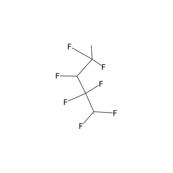 CC(F)(F)C(F)C(F)(F)[C](F)F